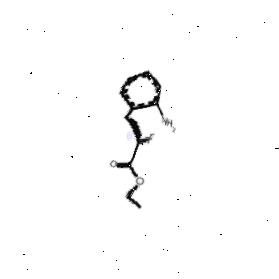 CCOC(=O)/C(F)=C/c1ccccc1N